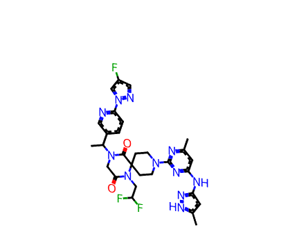 Cc1cc(Nc2cc(C)[nH]n2)nc(N2CCC3(CC2)C(=O)N(C(C)c2ccc(-n4cc(F)cn4)nc2)CC(=O)N3CC(F)F)n1